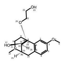 COc1ccc2c(c1)C13CCN(C)[C@H](C2)[C@H]1[C@H](O)C[C@H](OCCO)C3